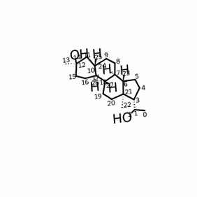 CC(O)[C@H]1CC[C@H]2[C@@H]3CC[C@H]4C[C@](C)(O)CC[C@@H]4[C@H]3CC[C@]12C